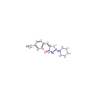 Cc1ccc(C=C2SC(N3CCSCC3)=NC2=O)cc1